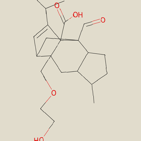 CC(C)C1=CC2CC3(C=O)C4CCC(C)C4CC2(COCCO)C13C(=O)O